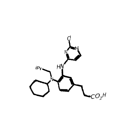 CC(C)CN(c1ccc(CCC(=O)O)cc1Nc1ccnc(Cl)n1)C1CCCCC1